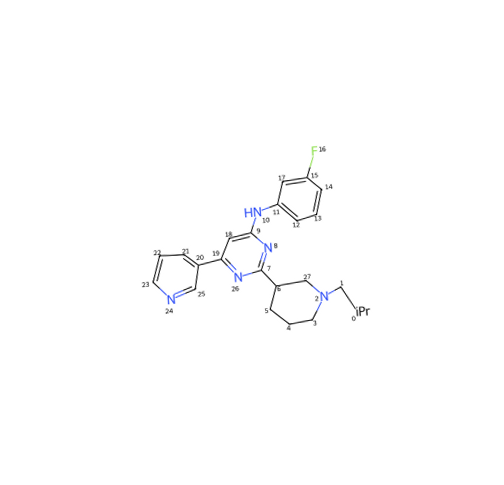 CC(C)CN1CCCC(c2nc(Nc3cccc(F)c3)cc(-c3cccnc3)n2)C1